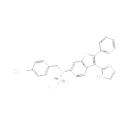 COc1ccc(CN(c2ccc3c(-c4ncc[nH]4)c(-c4ccccc4)oc3c2)S(C)(=O)=O)cc1